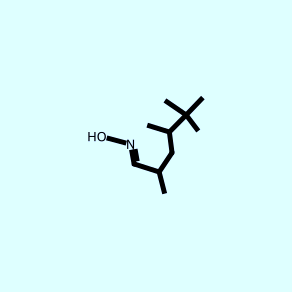 CC(C=NO)CC(C)C(C)(C)C